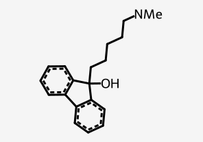 CNCCCCCC1(O)c2ccccc2-c2ccccc21